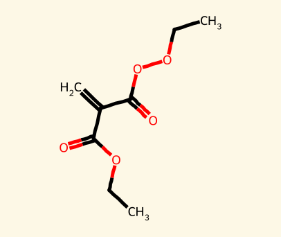 C=C(C(=O)OCC)C(=O)OOCC